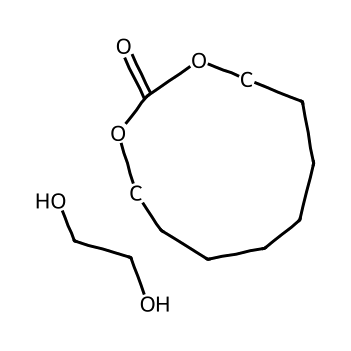 O=C1OCCCCCCCCO1.OCCO